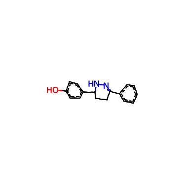 Oc1ccc(C2CCC(c3ccccc3)=NN2)cc1